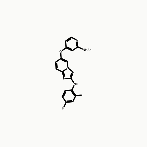 CC(=O)Nc1cc(Oc2ccc3nc(Nc4ccc(F)cc4F)nn3c2)ccn1